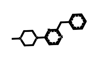 CN1CCN(c2ccnc(Cc3ccccc3)n2)CC1